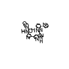 O=C(Nc1cncc(-c2cnc3[nH]nc(-c4nc5c(-c6ccccn6)cccc5[nH]4)c3c2)c1)N1CCOCC1